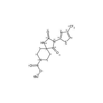 CC(C)(C)OC(=O)N1CCC2(CC1)NC(=O)N(c1nc(C(F)(F)F)cs1)C2=O